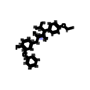 CCOc1ccc(C(/C(F)=C(\F)Cc2ccc(F)c(Oc3ccccc3)c2)C(C)C)cc1